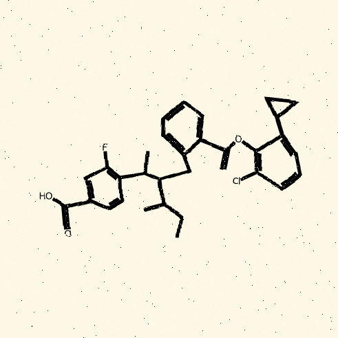 C=C(Oc1c(Cl)cccc1C1CC1)c1ccccc1CC(C(C)CC)C(C)c1ccc(C(=O)O)cc1F